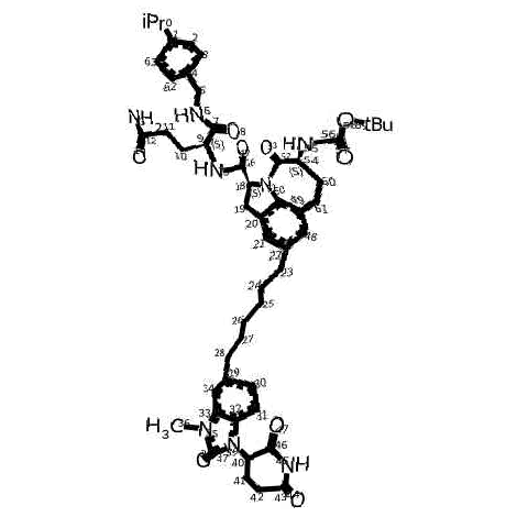 CC(C)c1ccc(CNC(=O)[C@H](CCC(N)=O)NC(=O)[C@@H]2Cc3cc(CCCCCCc4ccc5c(c4)n(C)c(=O)n5C4CCC(=O)NC4=O)cc4c3N2C(=O)[C@@H](NC(=O)OC(C)(C)C)CC4)cc1